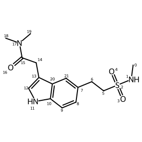 CNS(=O)(=O)CCc1ccc2[nH]cc(CC(=O)N(C)C)c2c1